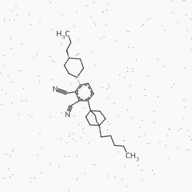 CCCCCC12CCC(c3ccc([C@H]4CC[C@H](CCC)CC4)c(C#N)c3C#N)(CC1)CC2